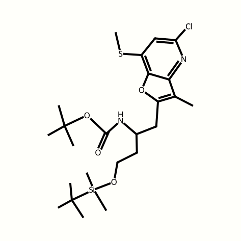 CSc1cc(Cl)nc2c(C)c(CC(CCO[Si](C)(C)C(C)(C)C)NC(=O)OC(C)(C)C)oc12